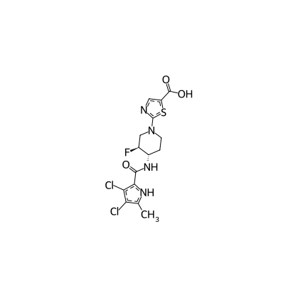 Cc1[nH]c(C(=O)N[C@H]2CCN(c3ncc(C(=O)O)s3)C[C@@H]2F)c(Cl)c1Cl